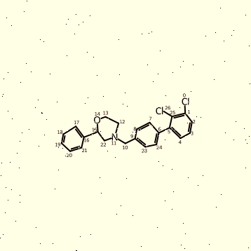 Clc1cccc(-c2ccc(CN3CCOC(c4ccccc4)C3)cc2)c1Cl